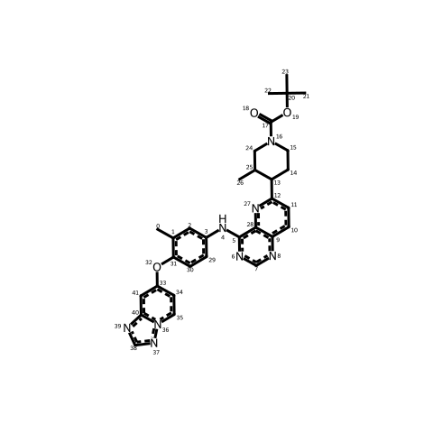 Cc1cc(Nc2ncnc3ccc(C4CCN(C(=O)OC(C)(C)C)CC4C)nc23)ccc1Oc1ccn2ncnc2c1